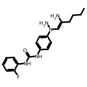 CCCC/C(N)=C/N(N)c1ccc(NC(=O)Nc2ccccc2F)cc1